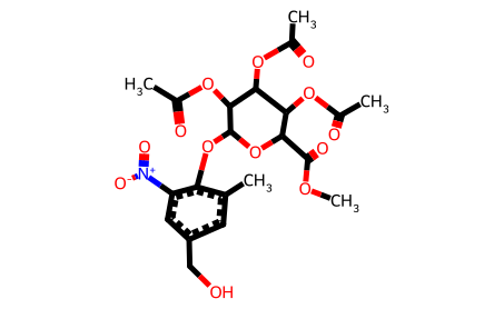 COC(=O)C1OC(Oc2c(C)cc(CO)cc2[N+](=O)[O-])C(OC(C)=O)C(OC(C)=O)C1OC(C)=O